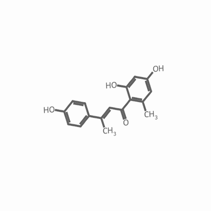 C/C(=C\C(=O)c1c(C)cc(O)cc1O)c1ccc(O)cc1